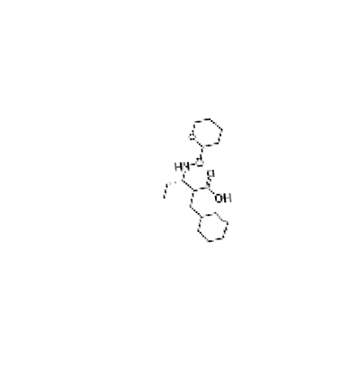 CC[C@H](NOC1CCCCO1)C(CC1CCCCC1)C(=O)O